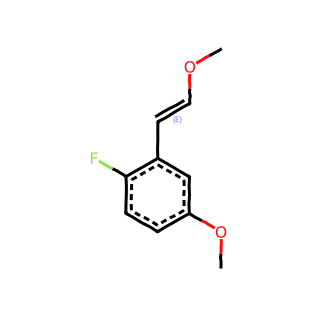 CO/C=C/c1cc(OC)ccc1F